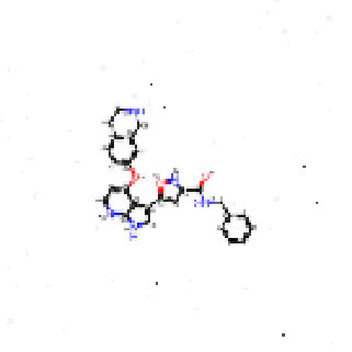 O=C(NCc1ccccc1)c1cc(-c2c[nH]c3nccc(Oc4ccc5c(c4)CNCC5)c23)on1